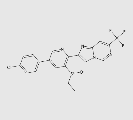 CC[S+]([O-])c1cc(-c2ccc(Cl)cc2)cnc1-c1cn2cnc(C(F)(F)F)cc2n1